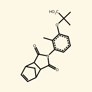 Cc1c(OC(C)(C)C(=O)O)cccc1N1C(=O)C2C3C=CC(C3)C2C1=O